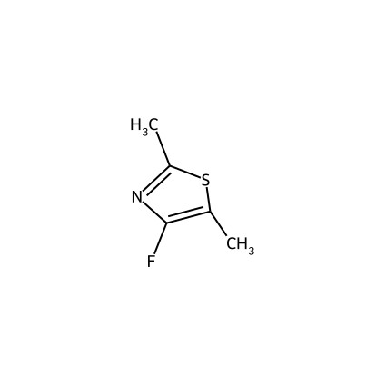 Cc1nc(F)c(C)s1